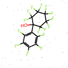 OC1(c2c(F)c(F)c(F)c(F)c2F)C(F)(F)C(F)(F)C(F)(F)C(F)(F)C1(F)F